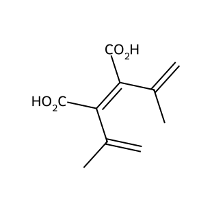 C=C(C)/C(C(=O)O)=C(\C(=C)C)C(=O)O